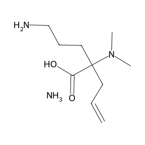 C=CCC(CCCN)(C(=O)O)N(C)C.N